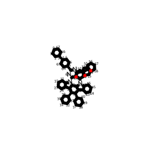 c1ccc(-c2ccc(-c3nc(-c4ccccc4)nc(-n4c5ccccc5c5c(-c6ccccc6)c(-c6ccccc6)c6c7ccccc7n(-c7cccc(-c8ccccc8)c7)c6c54)n3)cc2)cc1